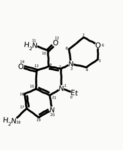 CCn1c(N2CCOCC2)c(C(N)=O)c(=O)c2cc(N)cnc21